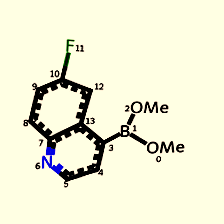 COB(OC)c1ccnc2ccc(F)cc12